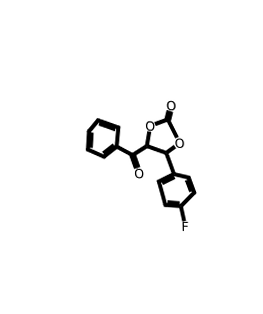 O=C1OC(C(=O)c2ccccc2)C(c2ccc(F)cc2)O1